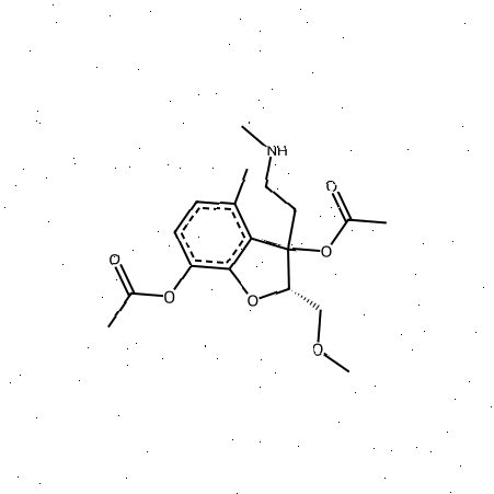 CNCCC1(OC(C)=O)c2c(C)ccc(OC(C)=O)c2O[C@H]1COC